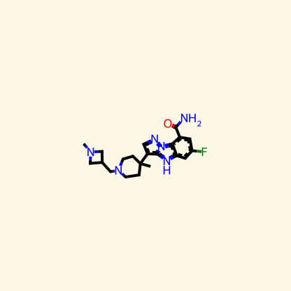 CN1CC(CN2CCC(C)(c3cnn4c3[nH]c3cc(F)cc(C(N)=O)c34)CC2)C1